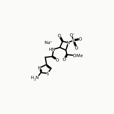 COC(=O)C1C(NC(=O)Cc2csc(N)n2)C(=O)N1S(=O)(=O)[O-].[Na+]